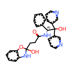 O=C(CCC1(O)Nc2ccccc2O1)N[C@H](c1ccccc1)C(O)(c1cccnc1)c1cccnc1